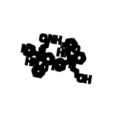 NC(=O)CCn1c2c(c(Nc3ccccc3)c1-c1ccncc1)C(=O)CCC2.O=C1CCCc2c1c(Nc1ccccc1)c(-c1ccncc1)n2CCCO